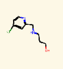 OCCCNCc1cc(Cl)ccn1